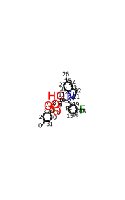 Cc1ccc(S(=O)(=O)OCC(O)C(c2cccc(F)c2)n2ccc3cc(C)ccc32)cc1